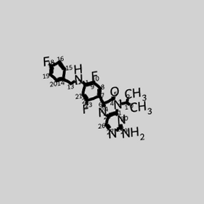 CC(C)n1c(=O)c(-c2cc(F)c(NCc3ccc(F)cc3)cc2F)nc2cnc(N)nc21